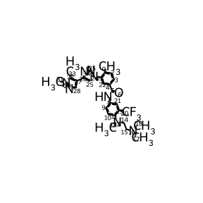 Cc1ccc(C(=O)Nc2ccc(N(C)CCN(C)C)c(C(F)(F)F)c2)cc1-n1cc(-c2cnn(C)c2C)nn1